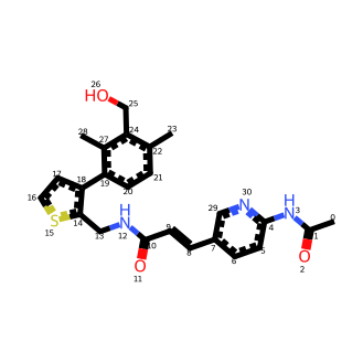 CC(=O)Nc1ccc(/C=C/C(=O)NCc2sccc2-c2ccc(C)c(CO)c2C)cn1